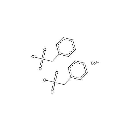 O=S(=O)([O-])Cc1ccccc1.O=S(=O)([O-])Cc1ccccc1.[Co+2]